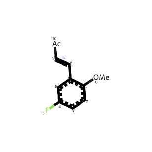 COc1ccc(F)cc1/C=C/C(C)=O